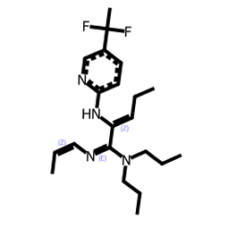 C\C=C/N=C(\C(=C\CC)Nc1ccc(C(C)(F)F)cn1)N(CCC)CCC